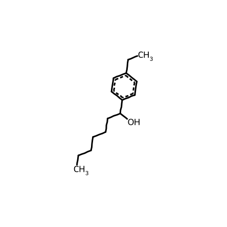 CCCCCCC(O)c1ccc(CC)cc1